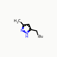 CCC(C)Cc1cc(C)n[nH]1